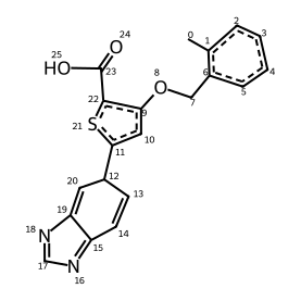 Cc1ccccc1COc1cc(C2C=CC3=NC=NC3=C2)sc1C(=O)O